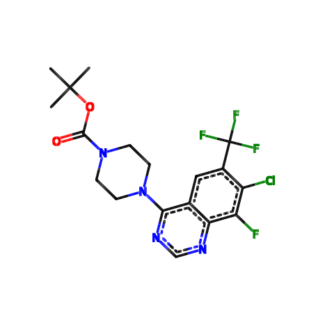 CC(C)(C)OC(=O)N1CCN(c2ncnc3c(F)c(Cl)c(C(F)(F)F)cc23)CC1